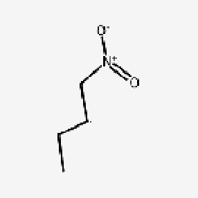 CC[CH]C[N+](=O)[O-]